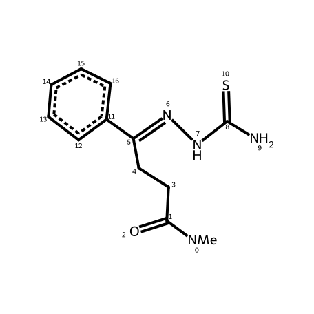 CNC(=O)CCC(=NNC(N)=S)c1ccccc1